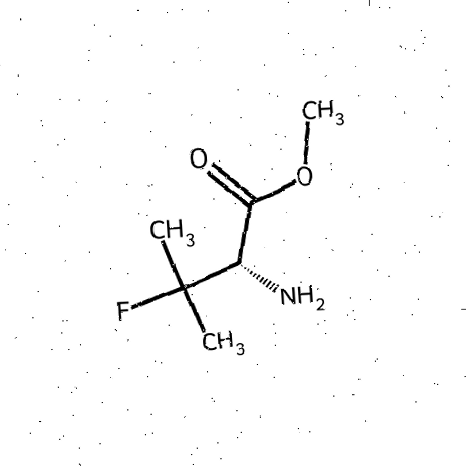 COC(=O)[C@H](N)C(C)(C)F